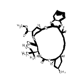 COC(=O)[C@@H]1C[C@@H]2CN1C(=O)[C@H](C(C)(C)C)NC(=O)O[C@@H]1C[C@H](C)C[C@H]1CCCCC(F)(F)c1nc3ccccc3nc1O2